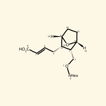 CCCCCCOC[C@@H]1[C@H](C/C=C/C(=O)O)[C@@H]2CC[C@H]1O2